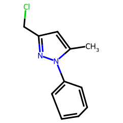 Cc1cc(CCl)nn1-c1ccccc1